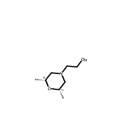 C[C@@H]1CN(C[CH]O)C[C@H](C)O1